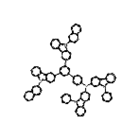 c1ccc(-n2c3ccccc3c3ccc(N(c4ccc(-c5cc(-c6ccc7c(c6)c6ccccc6n7-c6ccc7ccccc7c6)cc(-c6ccc7c(c6)c6ccccc6n7-c6ccc7ccccc7c6)c5)cc4)c4ccc5c6ccccc6n(-c6ccccc6)c5c4)cc32)cc1